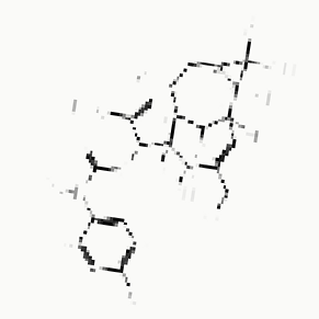 CC1=C[C@]23C(O)[C@@H](C=C(CO)[C@@H](O)[C@]2(O)[C@H]1OC(=O)N(C)c1ccc(Cl)cc1)[C@H]1[C@@H](C[C@H]3C)C1(C)C